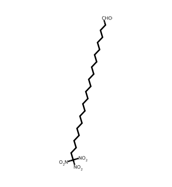 O=[C]CCCCCCCCCCCCCCCCCCCCCCC([N+](=O)[O-])([N+](=O)[O-])[N+](=O)[O-]